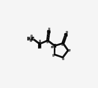 CNC(=O)N1CCCC1=O